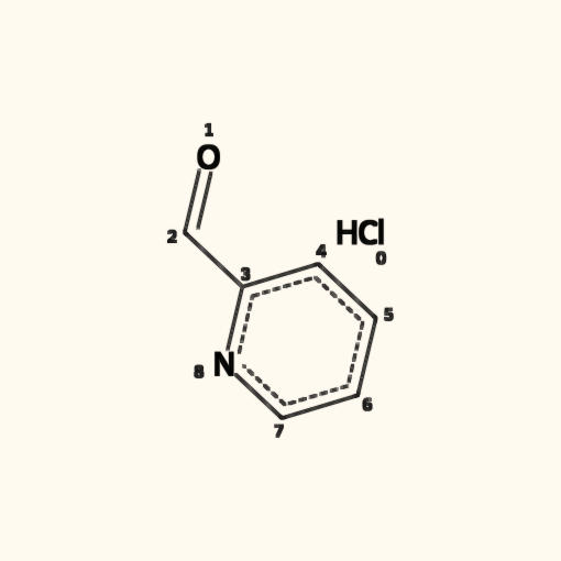 Cl.O=Cc1ccccn1